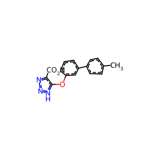 Cc1ccc(-c2cccc(Oc3[nH]nnc3C(=O)O)c2)cc1